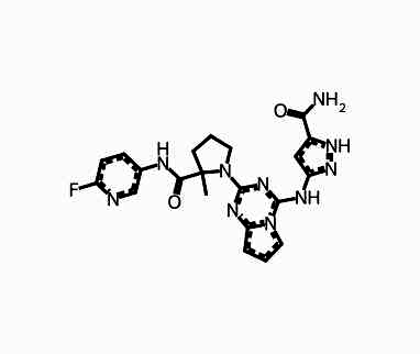 CC1(C(=O)Nc2ccc(F)nc2)CCCN1c1nc(Nc2cc(C(N)=O)[nH]n2)n2cccc2n1